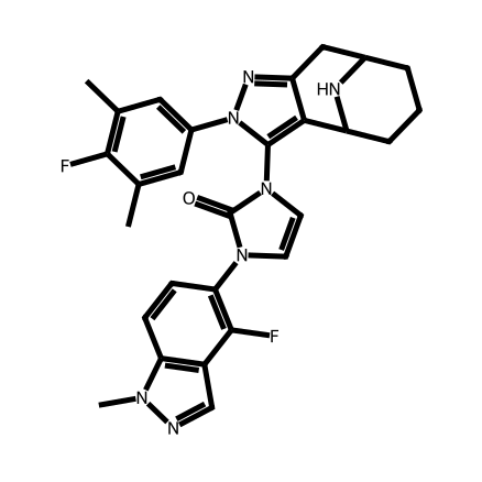 Cc1cc(-n2nc3c(c2-n2ccn(-c4ccc5c(cnn5C)c4F)c2=O)C2CCCC(C3)N2)cc(C)c1F